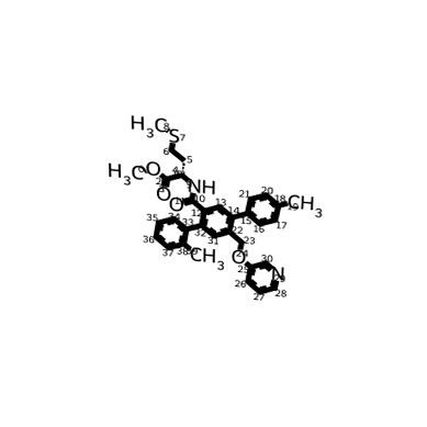 COC(=O)[C@H](CCSC)NC(=O)c1cc(-c2ccc(C)cc2)c(COc2cccnc2)cc1-c1ccccc1C